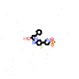 CS(=O)(=O)c1ccc(-c2cc3c(cc2F)nc2n3C(c3ccccc3)C[C@H]2O)cn1